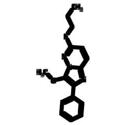 CCCSc1ccc2nc(-c3ccccc3)c(OC)n2n1